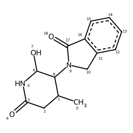 CC1CC(=O)NC(O)C1N1Cc2ccccc2C1=O